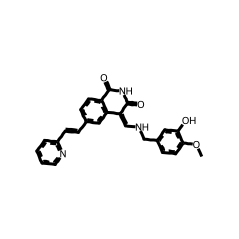 COc1ccc(CNC=C2C(=O)NC(=O)c3ccc(C=Cc4ccccn4)cc32)cc1O